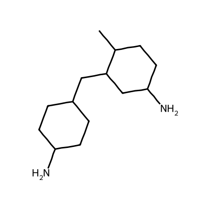 CC1CCC(N)CC1CC1CCC(N)CC1